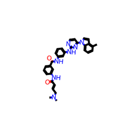 Cc1cccc2c1ccn2-c1ccnc(Nc2cccc(NC(=O)c3cccc(NC(=O)/C=C/CN(C)C)c3)c2)n1